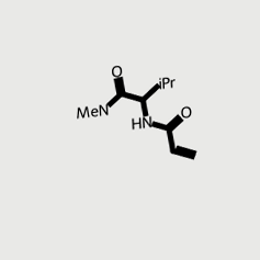 C=CC(=O)NC(C(=O)NC)C(C)C